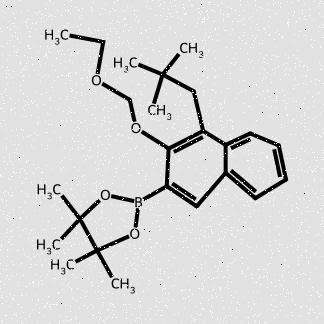 CCOCOc1c(B2OC(C)(C)C(C)(C)O2)cc2ccccc2c1CC(C)(C)C